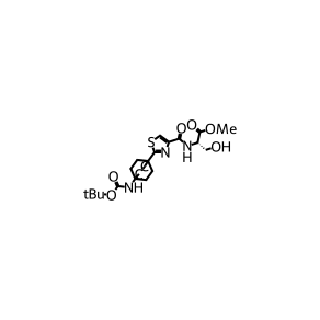 COC(=O)[C@H](CO)NC(=O)c1csc(C23CCC(NC(=O)OC(C)(C)C)(CC2)CC3)n1